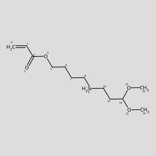 C=CC(=O)OCCCC[SiH2]CCC(OC)OC